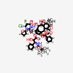 CC(=O)O[C@@]12CO[C@@H]1C[C@H](O)[C@@]1(C)C(=O)[C@H](O)C3=C(C)C(OC(=O)[C@H](O)[C@@H](NC(=O)OC(C)(C)C)c4ccccc4)C[C@@](O)(C(OC(=O)c4ccccc4)C12)C3(C)C.O=c1[nH]c(=O)n([C@H]2CCCO2)cc1F.[Cl-].[H+].[NaH]